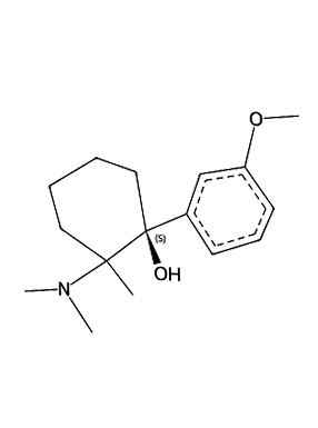 COc1cccc([C@@]2(O)CCCCC2(C)N(C)C)c1